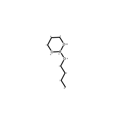 CCCCOB1OCCCO1